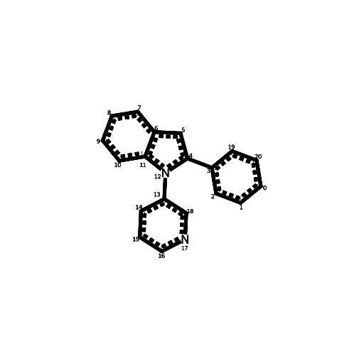 c1ccc(-c2cc3ccccc3n2-c2cccnc2)cc1